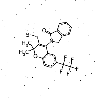 CC1(C)Oc2ccc(C(F)(F)C(F)(F)F)cc2C(N2Cc3ccccc3C2=O)=C1CBr